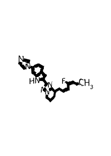 CC/C=C(F)\C=C/CC1CCCn2nc(-c3cc4ccc(-n5ccnc5)cc4[nH]3)nc21